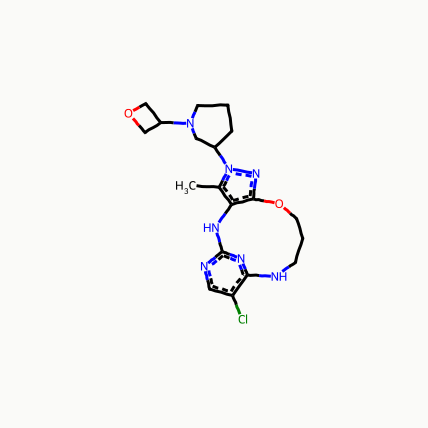 Cc1c2c(nn1C1CCCN(C3COC3)C1)OCCCNc1nc(ncc1Cl)N2